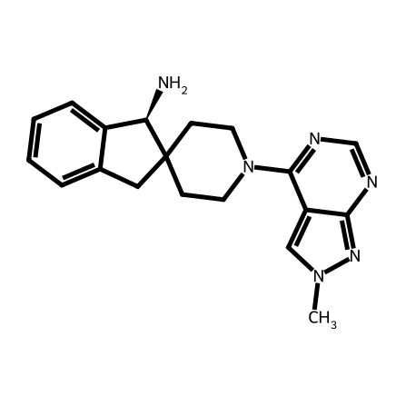 Cn1cc2c(N3CCC4(CC3)Cc3ccccc3[C@H]4N)ncnc2n1